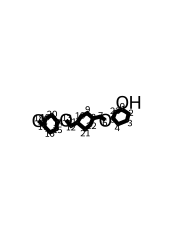 OC1CCCC(OCC2CCC(COC3CCC4OC4C3)CC2)C1